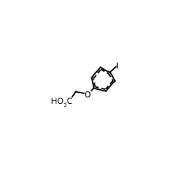 O=C(O)COc1ccc(I)cc1